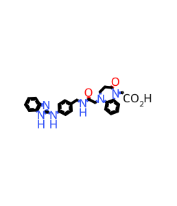 O=C(O)CN1C(=O)CCN(CC(=O)NCc2ccc(Nc3nc4ccccc4[nH]3)cc2)c2ccccc21